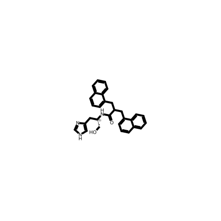 O=C(N[C@H](CO)Cc1c[nH]cn1)C(Cc1cccc2ccccc12)Cc1cccc2ccccc12